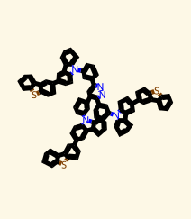 c1cc(-c2cc(-c3cccc(-n4c5ccccc5c5cc(-c6ccc7sc8ccccc8c7c6)ccc54)c3)c(-c3cccc(-n4c5ccccc5c5cc(-c6ccc7sc8ccccc8c7c6)ccc54)c3)nn2)cc(-n2c3ccccc3c3cc(-c4ccc5sc6ccccc6c5c4)ccc32)c1